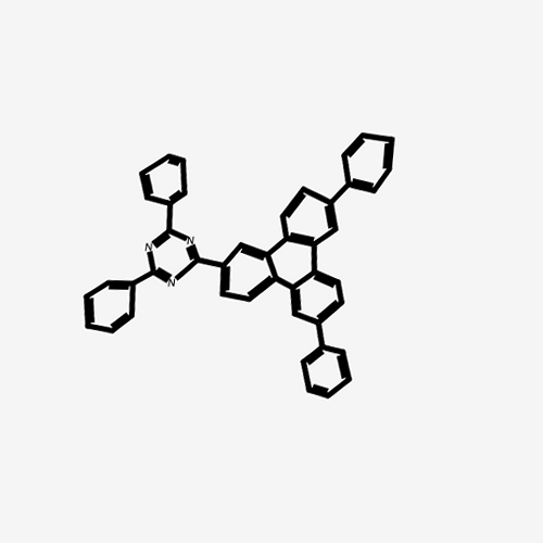 c1ccc(-c2ccc3c(c2)c2ccc(-c4ccccc4)cc2c2ccc(-c4nc(-c5ccccc5)nc(-c5ccccc5)n4)cc32)cc1